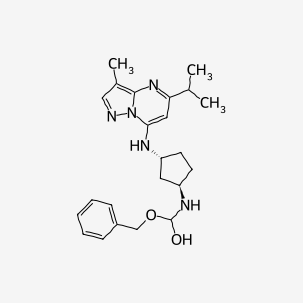 Cc1cnn2c(N[C@@H]3CC[C@@H](NC(O)OCc4ccccc4)C3)cc(C(C)C)nc12